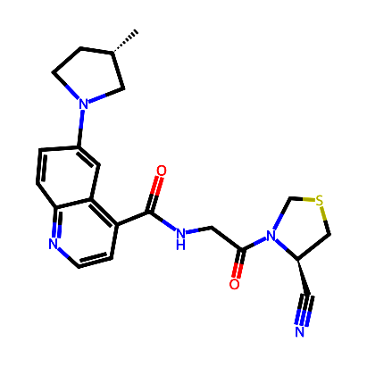 C[C@H]1CCN(c2ccc3nccc(C(=O)NCC(=O)N4CSC[C@H]4C#N)c3c2)C1